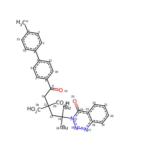 Cc1ccc(-c2ccc(C(=O)CC(CC(n3nnc4ccccc4c3=O)(C(C)(C)C)C(C)(C)C)(C(=O)O)C(=O)O)cc2)cc1